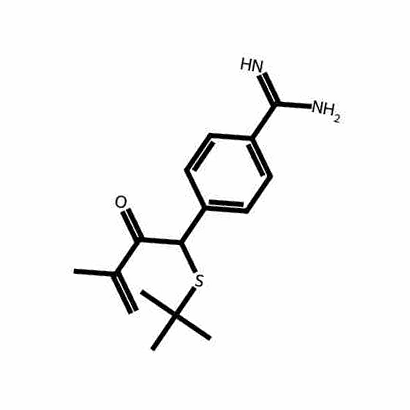 C=C(C)C(=O)C(SC(C)(C)C)c1ccc(C(=N)N)cc1